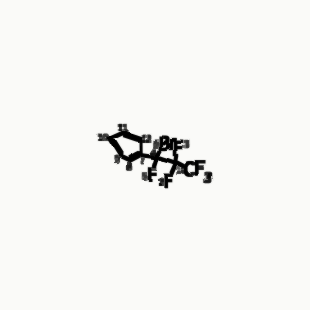 FC(F)(F)C(F)(F)C(F)(Br)c1ccccc1